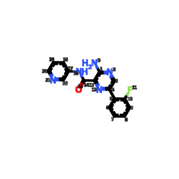 Nc1ncc(-c2ccccc2F)nc1C(=O)Nc1cccnc1